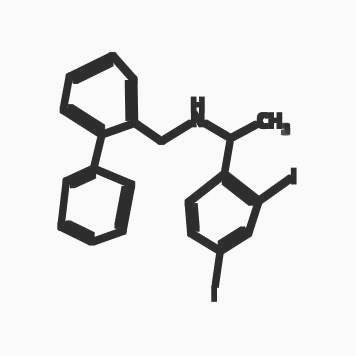 CC(NCc1ccccc1-c1ccccc1)c1ccc(I)cc1I